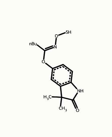 CCCCC(=NOS)Oc1ccc2c(c1)C(C)(C)C(=O)N2